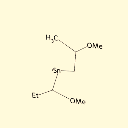 CC[CH](OC)[Sn][CH2]C(C)OC